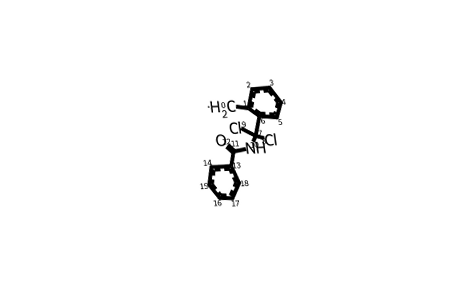 [CH2]c1ccccc1C(Cl)(Cl)NC(=O)c1ccccc1